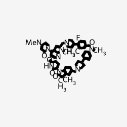 CNc1ccn(-c2ccnc3c2cc(CN2CC=C(c4c(C)cc(C(=O)N(C)c5ccc(C6CCN(Cc7ccc8c(c7)C(C)(C)C(=O)N8[C@@H]7CCC(=O)NC7=O)CC6)cc5)cc4F)CC2)n3C)c(=O)c1